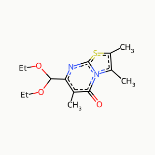 CCOC(OCC)c1nc2sc(C)c(C)n2c(=O)c1C